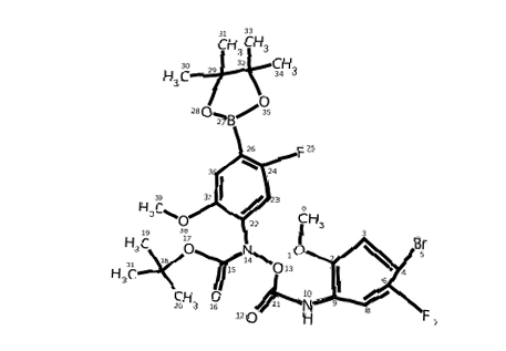 COc1cc(Br)c(F)cc1NC(=O)ON(C(=O)OC(C)(C)C)c1cc(F)c(B2OC(C)(C)C(C)(C)O2)cc1OC